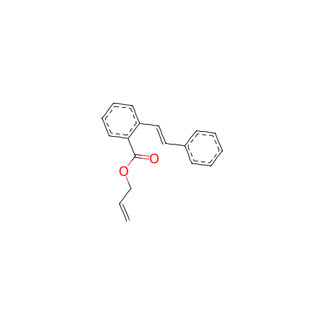 C=CCOC(=O)c1ccccc1/C=C/c1ccccc1